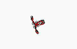 COC1=CCC(CSCCC(=O)OCC(COC(=O)CCSCC2CC=C(OC)CC2)(COC(=O)CCSCC2CC=C(OC)CC2)COC(=O)CCSCC2CC=C(OC)CC2)CC1